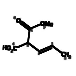 CC=CC(C(=O)O)C(=O)OC